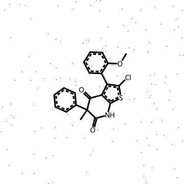 COc1ccccc1-c1c(Cl)sc2c1C(=O)C(C)(c1ccccc1)C(=O)N2